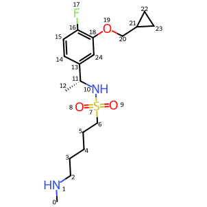 CNCCCCCS(=O)(=O)N[C@H](C)c1ccc(F)c(OCC2CC2)c1